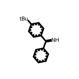 CC(C)(C)c1ccc(C(=N)c2ccccc2)cc1